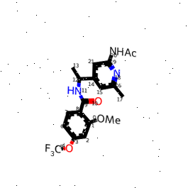 COc1cc(OC(F)(F)F)ccc1C(=O)NC(C)c1cc(C)nc(NC(C)=O)c1